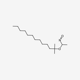 CCCCCCCCCCCC(C)(C)OC(C)N=O